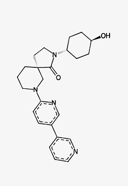 O=C1N([C@H]2CC[C@H](O)CC2)CC[C@]12CCCN(c1ccc(-c3cccnc3)cn1)C2